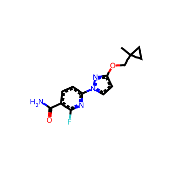 CC1(COc2ccn(-c3ccc(C(N)=O)c(F)n3)n2)CC1